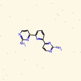 Nc1nccc(-c2cccc(-c3ccnc(N)n3)n2)n1